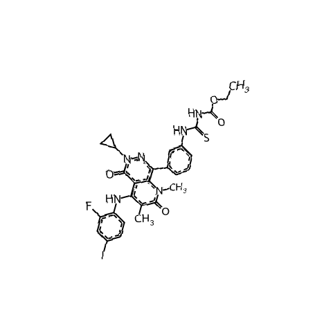 CCOC(=O)NC(=S)Nc1cccc(-c2nn(C3CC3)c(=O)c3c(Nc4ccc(I)cc4F)c(C)c(=O)n(C)c23)c1